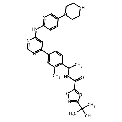 Cc1cc(-c2cc(Nc3ccc(N4CCNCC4)cn3)ncn2)ccc1C(C)NC(=O)c1nc(C(C)(C)C)no1